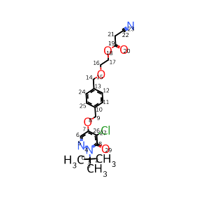 CC(C)(C)n1ncc(OCc2ccc(COCCOC(=O)CC#N)cc2)c(Cl)c1=O